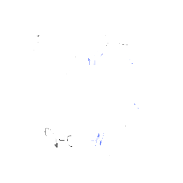 CCN(C=O)C[C@H]1CCCN1C(=O)N(C)Cc1ccc2ccccc2n1